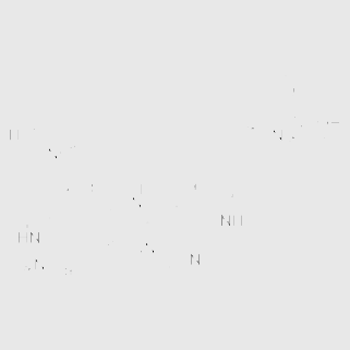 CN(C)Cc1cc(Nc2ncnc3[nH]c(C4=CCN(C(=O)O)CC4)cc23)cc2cn[nH]c12